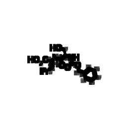 CC(C)C[C@H](NC(=O)[C@H](CO)NC(=O)OCc1ccccc1)C(=O)O